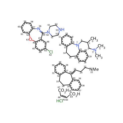 CC(CN(C)C)CN1c2ccccc2CCc2ccccc21.CNCCC=C1c2ccccc2CCc2ccccc21.Cl.Clc1ccc2c(c1)C(N1CCNCC1)=Nc1ccccc1O2.O=C(O)/C=C\C(=O)O